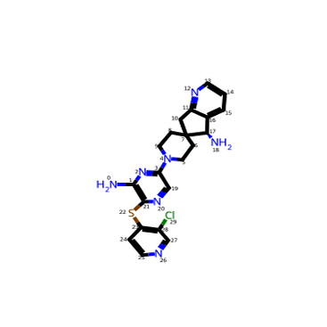 Nc1nc(N2CCC3(CC2)Cc2ncccc2[C@H]3N)cnc1Sc1ccncc1Cl